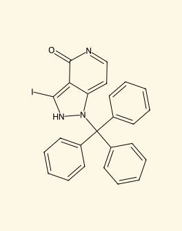 O=c1nccc2n(C(c3ccccc3)(c3ccccc3)c3ccccc3)[nH]c(I)c1-2